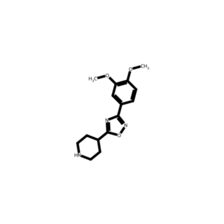 COc1ccc(-c2noc(C3CCNCC3)n2)cc1OC